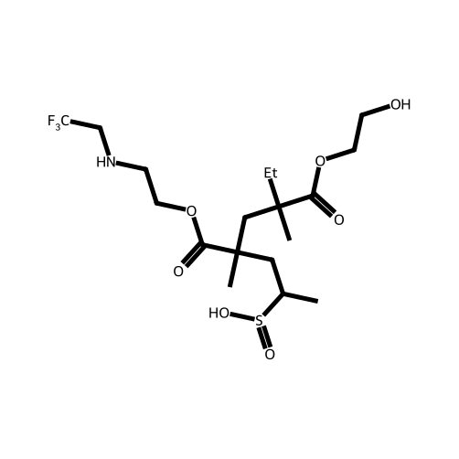 CCC(C)(CC(C)(CC(C)S(=O)O)C(=O)OCCNCC(F)(F)F)C(=O)OCCO